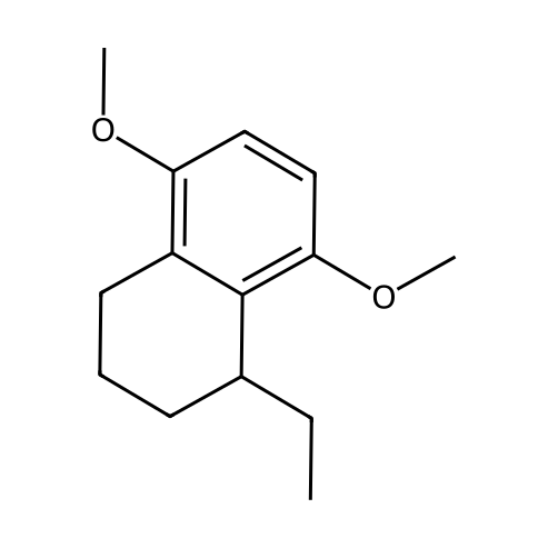 CCC1CCCc2c(OC)ccc(OC)c21